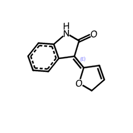 O=C1Nc2ccccc2/C1=C1/C=CCO1